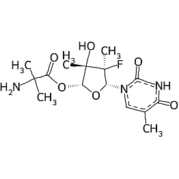 Cc1cn([C@@H]2O[C@H](OC(=O)C(C)(C)N)[C@](C)(O)[C@@]2(C)F)c(=O)[nH]c1=O